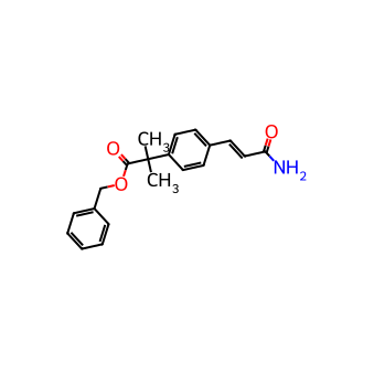 CC(C)(C(=O)OCc1ccccc1)c1ccc(C=CC(N)=O)cc1